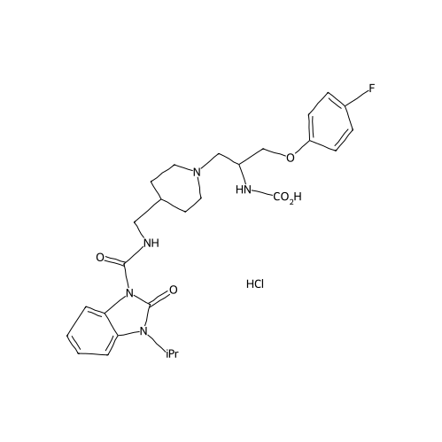 CC(C)n1c(=O)n(C(=O)NCC2CCN(CC(COc3ccc(F)cc3)NC(=O)O)CC2)c2ccccc21.Cl